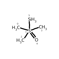 CS(C)(C)(=O)[SiH3]